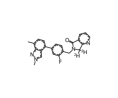 [2H]C1([2H])c2ncccc2C(=O)N1Cc1ccc(-c2ccc(C)c3nn(C)cc23)cc1F